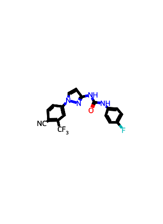 N#Cc1ccc(-n2ccc(NC(=O)Nc3ccc(F)cc3)n2)cc1C(F)(F)F